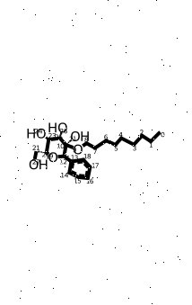 CCCCCCCCCO[C@@]1(O)[C](c2ccccc2)O[C@H](CO)[C@@H](O)[C@@H]1O